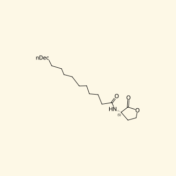 CCCCCCCCCCCCCCCCCCCC(=O)N[C@H]1CCOC1=O